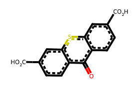 O=C(O)c1ccc2c(=O)c3ccc(C(=O)O)cc3sc2c1